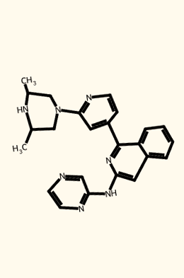 CC1CN(c2cc(-c3nc(Nc4cnccn4)cc4ccccc34)ccn2)CC(C)N1